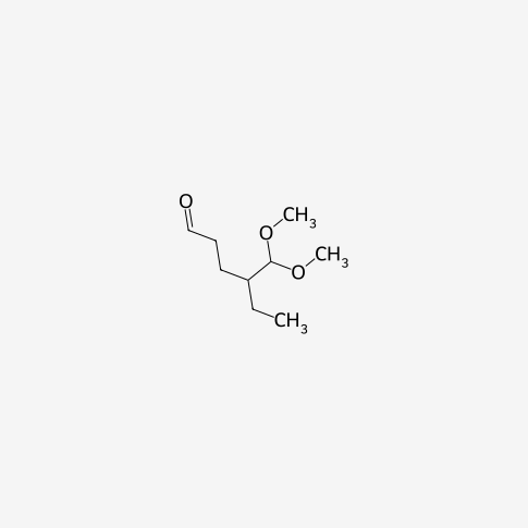 CCC(CCC=O)C(OC)OC